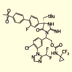 CC(C)(C)C[C@]1(c2ccc(-c3ccc(S(C)(=O)=O)cc3)c(F)c2)NC(=N)N(C(COC(=O)NC2(C(F)(F)F)CC2)c2ccc(Cl)c(-n3ncnc3C(F)F)c2)C1=O